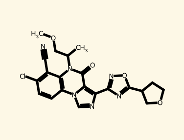 COCC(C)n1c(=O)c2c(-c3noc(C4CCOC4)n3)ncn2c2ccc(Cl)c(C#N)c21